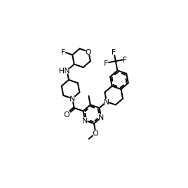 COc1nc(C(=O)N2CCC(NC3CCOCC3F)CC2)c(C)c(N2CCc3ccc(C(F)(F)F)cc3C2)n1